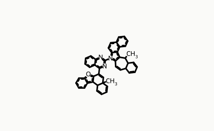 CC1c2c(n(-c3nc(C4=CC5(C)C=CC=CC5c5c4oc4ccccc54)c4ccccc4n3)c3ccc4ccccc4c23)C=CC2C=CC=CC21